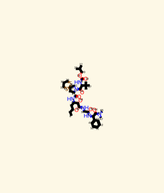 CCCCC(NC(=O)[C@@H]1CC2(CN1C(=O)[C@@H](NC(=O)OCC(C)C)C(C)(C)C)SCCCS2)C(=O)C(=O)NCC(=O)NC(C(=O)N(C)C)c1ccccc1